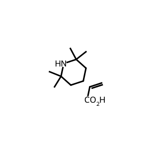 C=CC(=O)O.CC1(C)CCCC(C)(C)N1